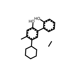 CC.Cc1cc(O)c(-c2ccccc2O)cc1C1CCCCC1